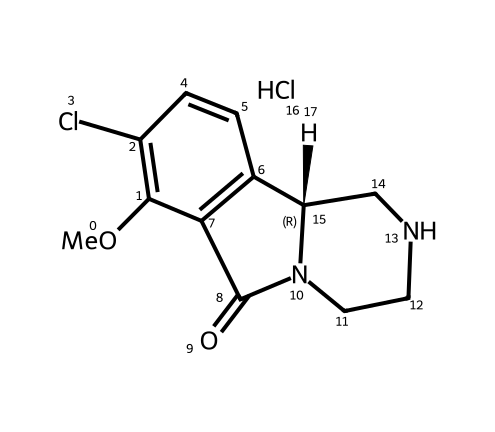 COc1c(Cl)ccc2c1C(=O)N1CCNC[C@@H]21.Cl